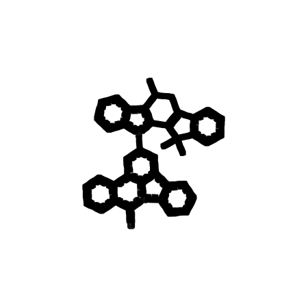 CC1CC2=C(c3c1c1ccccc1n3-c1cc3c4ccccc4c(=O)n4c5ccccc5c(c1)c34)C(C)(C)c1ccccc12